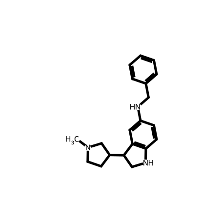 CN1CCC(C2CNc3ccc(NCc4ccccc4)cc32)C1